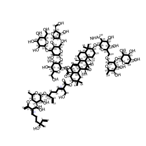 C=CC(C)(O)CC/C=C(\CO)C(=C)O[C@@H]1C(C)O[C@@H](O[C@](C)(C=C)CC/C=C(\CO)C(=O)O[C@H]2C[C@@]3(C(=O)O[C@@H]4OC(CO)[C@@H](O)[C@H](O)C4O[C@@H]4OC(C)[C@H](O[C@@H]5O[C@@H](CO)[C@H](O)[C@@H]5O)C(O[C@@H]5OC(CO)[C@@H](O)[C@H](O)C5O)[C@@H]4O)C(CC2(C)C)[C@@]2(C)C(=C[C@H]3O)[C@]3(C)CCC4C(C)(C)[C@@H](O[C@@H]5OC(CO[C@@H]6OC(C)[C@H](O)[C@H](O)C6O[C@@H]6OC[C@@H](O)[C@H](O)C6O)[C@@H](O)[C@H](O)C5NC(C)=O)CC[C@]4(C)C3[C@@H]3O[C@@H]32)C(O)[C@H]1O